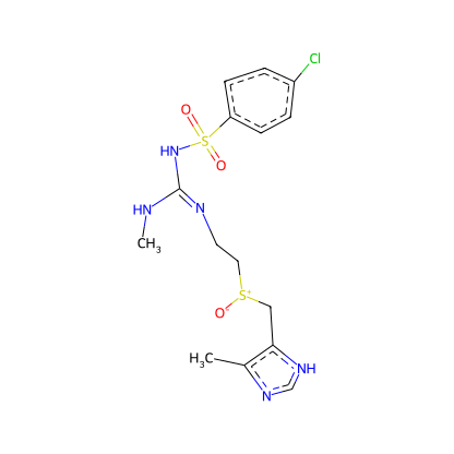 CNC(=NCC[S+]([O-])Cc1[nH]cnc1C)NS(=O)(=O)c1ccc(Cl)cc1